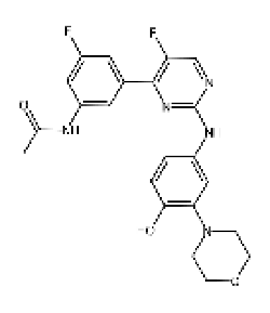 CC(=O)Nc1cc(F)cc(-c2nc(Nc3ccc(O)c(N4CCOCC4)c3)ncc2F)c1